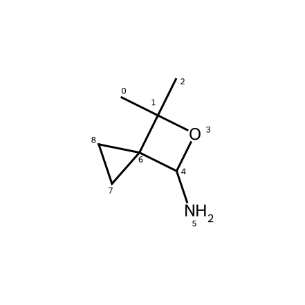 CC1(C)OC(N)C12CC2